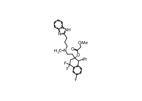 COCC(=O)OC1(CCN(C)CCCc2nc3ccccc3[nH]2)CC(F)(F)c2cc(F)ccc2C1C(C)C